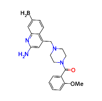 Bc1ccc2c(CN3CCN(C(=O)c4ccccc4OC)CC3)cc(N)nc2c1